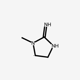 CN1[CH]CNC1=N